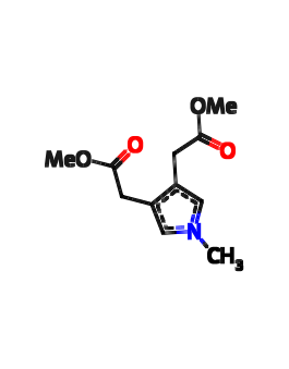 COC(=O)Cc1cn(C)cc1CC(=O)OC